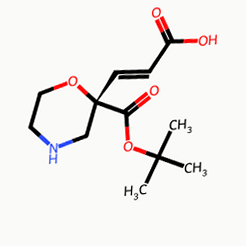 CC(C)(C)OC(=O)[C@]1(C=CC(=O)O)CNCCO1